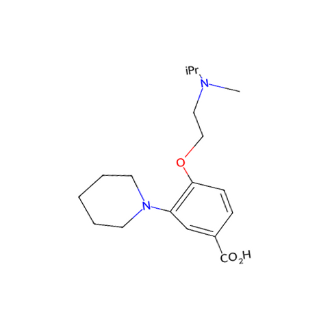 CC(C)N(C)CCOc1ccc(C(=O)O)cc1N1CCCCC1